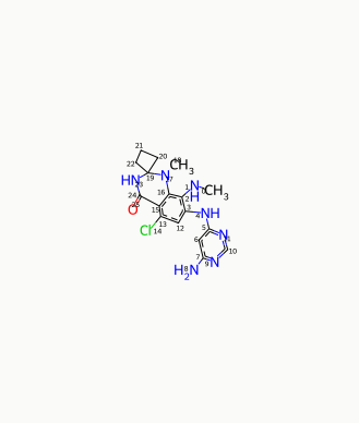 CNc1c(Nc2cc(N)ncn2)cc(Cl)c2c1N(C)C1(CCC1)NC2=O